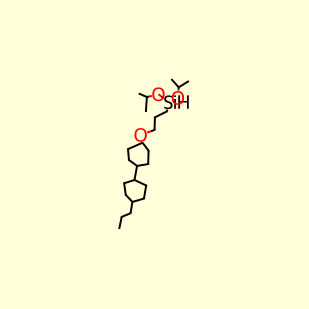 CCCC1CCC(C2CCC(OCCC[SiH](OC(C)C)OC(C)C)CC2)CC1